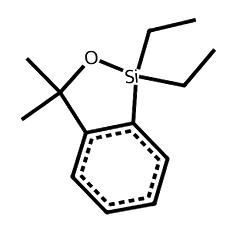 CC[Si]1(CC)OC(C)(C)c2ccccc21